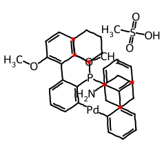 COc1cccc(OC)c1-c1ccc[c]([Pd][c]2ccccc2-c2ccccc2N)c1P(C1CCCCC1)C1CCCCC1.CS(=O)(=O)O